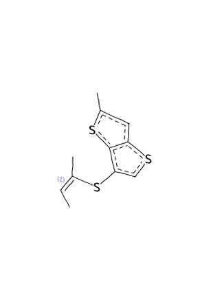 C/C=C(/C)Sc1csc2cc(C)sc12